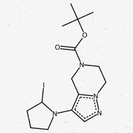 CC(C)(C)OC(=O)N1CCn2ncc(N3CCCC3I)c2C1